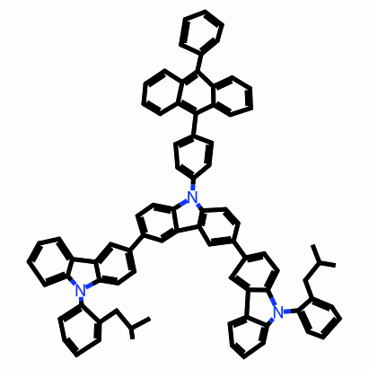 CC(C)Cc1ccccc1-n1c2ccccc2c2cc(-c3ccc4c(c3)c3cc(-c5ccc6c(c5)c5ccccc5n6-c5ccccc5CC(C)C)ccc3n4-c3ccc(-c4c5ccccc5c(-c5ccccc5)c5ccccc45)cc3)ccc21